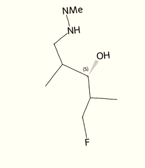 CNNCC(C)[C@H](O)C(C)CF